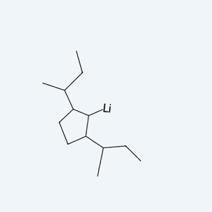 [Li][CH]1C(C(C)CC)CCC1C(C)CC